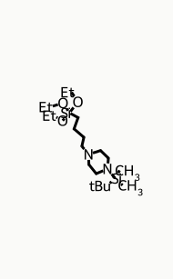 CCO[Si](CCCCN1CCN([Si](C)(C)C(C)(C)C)CC1)(OCC)OCC